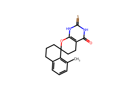 Cc1cccc2c1C1(CCC2)CCc2c([nH]c(=S)[nH]c2=O)O1